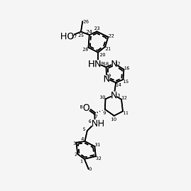 Cc1ccc(CNC(=O)[C@H]2CCCN(c3ccnc(Nc4cccc(C(C)O)c4)n3)C2)cc1